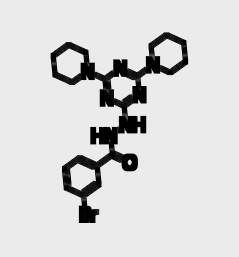 O=C(NNc1nc(N2CCCCC2)nc(N2CCCCC2)n1)c1cccc(Br)c1